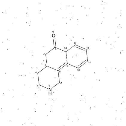 O=C1CC2CCNCC2=C2C=CC=CC12